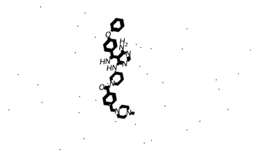 CN1CCN(Cc2ccc(C(=O)N3CCC[C@@H](Nc4ncnc(N)c4C(=N)c4ccc(Oc5ccccc5)cc4)C3)cc2)CC1